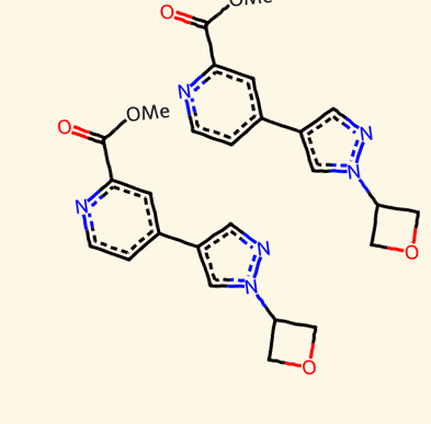 COC(=O)c1cc(-c2cnn(C3COC3)c2)ccn1.COC(=O)c1cc(-c2cnn(C3COC3)c2)ccn1